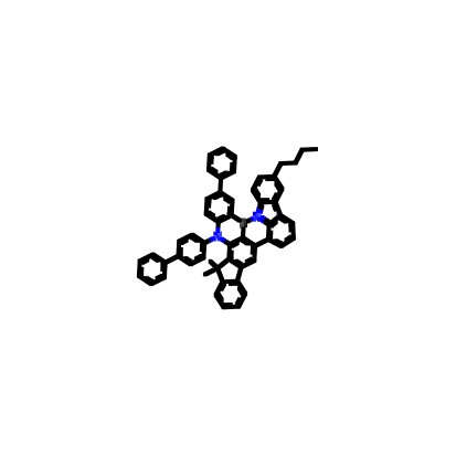 CCCCc1ccc2c(c1)c1cccc3c1n2B1c2cc(-c4ccccc4)ccc2N(c2ccc(-c4ccccc4)cc2)c2c1c-3cc1c2C(C)(C)c2ccccc2-1